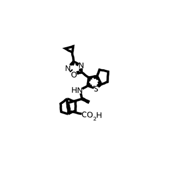 C=C(Nc1sc2c(c1-c1nc(C3CC3)no1)CCC2)C1=C(C(=O)O)C2CCC1CC2